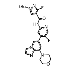 CC(C)(C)n1cc(C(=O)Nc2cc(-c3cc(N4CCOCC4)c4nccn4c3)c(F)cn2)c(F)n1